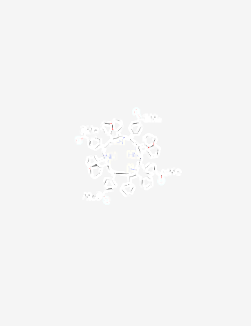 COC(=O)c1ccc(C2=C3N=C(C(c4ccccc4)=C3c3ccccc3)C(c3ccc(C(=O)OC)cc3)=c3[nH]c(c(-c4ccccc4)c3-c3ccccc3)=C(c3ccc(C(=O)OC)cc3)C3=NC(=C(c4ccc(C(=O)OC)cc4)c4[nH]c2c(-c2ccccc2)c4-c2ccccc2)C(c2ccccc2)=C3c2ccccc2)cc1